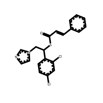 O=C(C=Cc1ccccc1)SC(Cn1ccnc1)c1ccc(Cl)cc1Cl